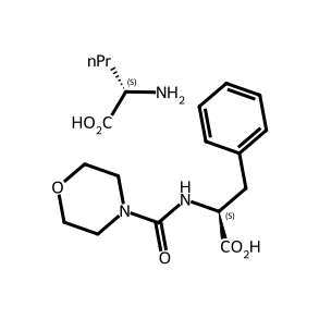 CCC[C@H](N)C(=O)O.O=C(O)[C@H](Cc1ccccc1)NC(=O)N1CCOCC1